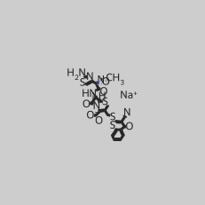 CO/N=C(\C(=O)N[C@@H]1C(=O)N2C(C(=O)[O-])=C(CSc3sc4ccccc4c(=O)c3C#N)CS[C@@H]12)c1csc(N)n1.[Na+]